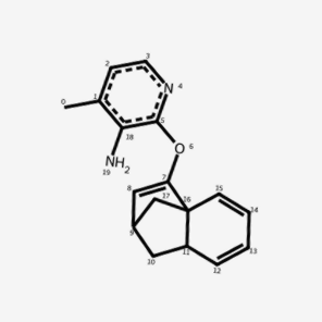 Cc1ccnc(OC2=CC3CC4C=CC=CC24C3)c1N